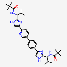 CC(C)C(NC(=O)C(C)(C)C)c1nc(-c2ccc(-c3ccc(-c4c[nH]c(C(NC(=O)C(C)(C)C)C(C)C)n4)nc3)cc2)c[nH]1